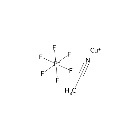 CC#N.F[P-](F)(F)(F)(F)F.[Cu+]